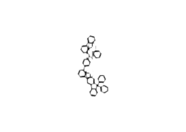 c1ccc(N(c2ccc(-c3cccc4c3oc3cc5c(cc34)-c3ccccc3C5(c3ccccc3)c3ccccc3)cc2)c2cccc3c2oc2ccccc23)cc1